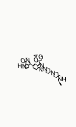 C#CCNC1(C)CCN(C2CCN(c3nc(C(COC)OC4CC4)c4cc(-c5cn(C)c(=O)c6[nH]ccc56)ccc4n3)CC2)CC1